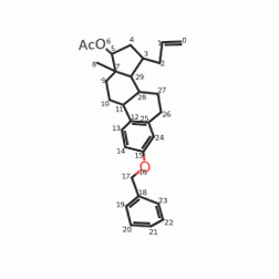 C=CCC1CC(OC(C)=O)C2(C)CCC3c4ccc(OCc5ccccc5)cc4CCC3C12